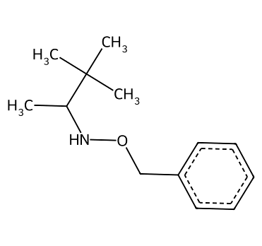 CC(NOCc1ccccc1)C(C)(C)C